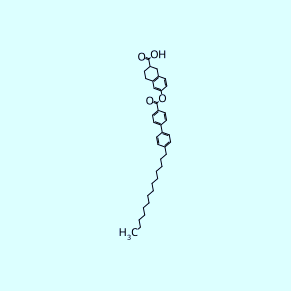 CCCCCCCCCCCCCCc1ccc(-c2ccc(C(=O)Oc3ccc4c(c3)CCC(C(=O)O)C4)cc2)cc1